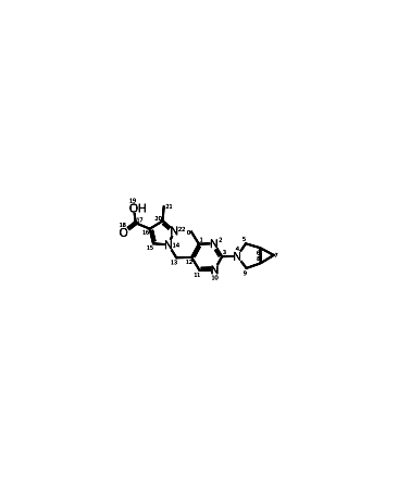 Cc1nc(N2CC3CC3C2)ncc1Cn1cc(C(=O)O)c(C)n1